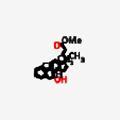 COC(=O)CC[C@@H](C)[C@H]1CCC2[C@H]3C(CC[C@@]21C)[C@@]1(C)CCCCC1C[C@@H]3O